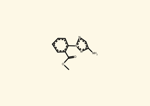 COC(=O)c1ccccc1-n1ncc(N)n1